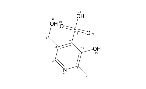 Cc1ncc(CO)c(S(=O)(=O)O)c1O